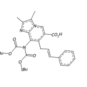 Cc1nc2c(N(C(=O)OC(C)(C)C)C(=O)OC(C)(C)C)c(C/C=C/c3ccccc3)c(C(=O)O)cn2c1C